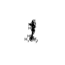 CC(C)(C)OC(=O)NCCCCOc1ccc(NC2CCCc3c2cc(C#N)c(OCCCl)c3Cl)cn1